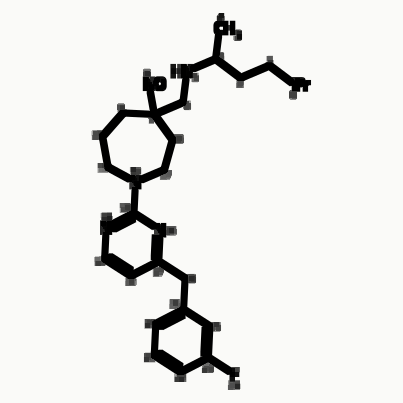 CC(C)CCC(C)NCC1(N=O)CCCN(c2nccc(Cc3cccc(F)c3)n2)CC1